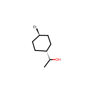 CC[C@H]1CC[C@H](C(C)O)CC1